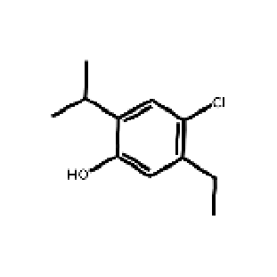 CCc1cc(O)c(C(C)C)cc1Cl